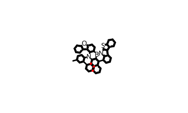 Cc1ccc(N2c3cc4ccccc4c4c3B(c3ccc5oc6ccccc6c5c32)n2c3sc5ccccc5c3c3cccc-4c32)c(-c2ccccc2)c1